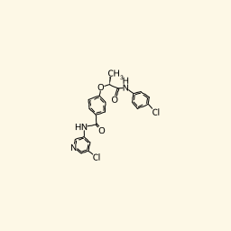 C[C@H](Oc1ccc(C(=O)Nc2cncc(Cl)c2)cc1)C(=O)Nc1ccc(Cl)cc1